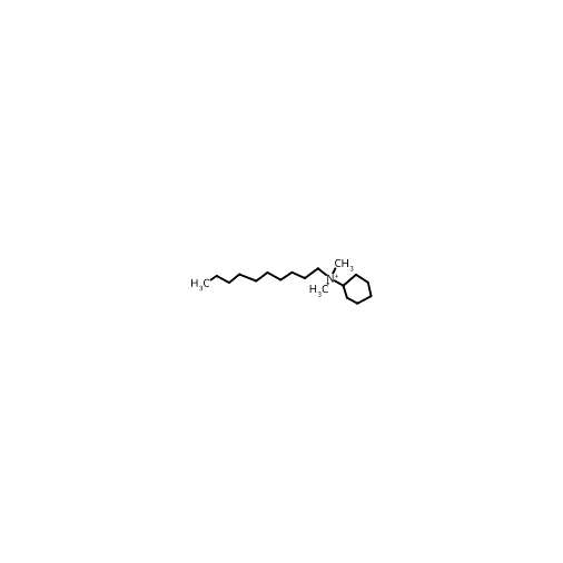 CCCCCCCCCC[N+](C)(C)C1CCCCC1